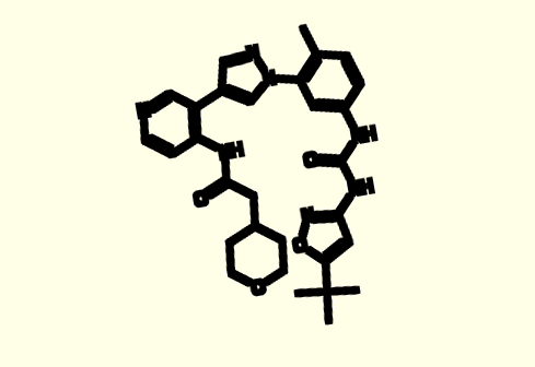 Cc1ccc(NC(=O)Nc2cc(C(C)(C)C)on2)cc1-n1cc(-c2cnccc2NC(=O)CC2CCOCC2)cn1